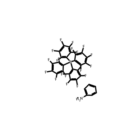 C[NH2+]c1ccccc1.Fc1c(F)c(F)c([B-](c2c(F)c(F)c(F)c(F)c2F)(c2c(F)c(F)c(F)c(F)c2F)c2c(F)c(F)c(F)c(F)c2F)c(F)c1F